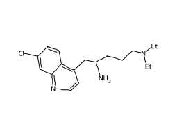 CCN(CC)CCCC(N)Cc1ccnc2cc(Cl)ccc12